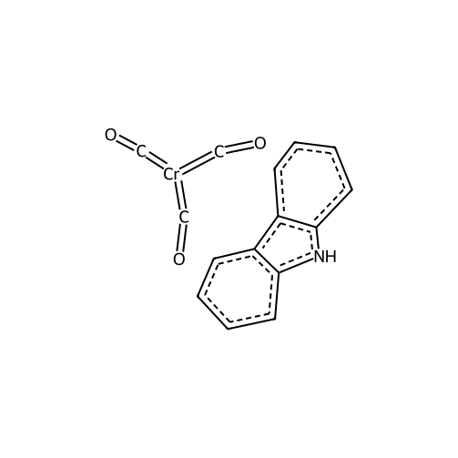 O=[C]=[Cr](=[C]=O)=[C]=O.c1ccc2c(c1)[nH]c1ccccc12